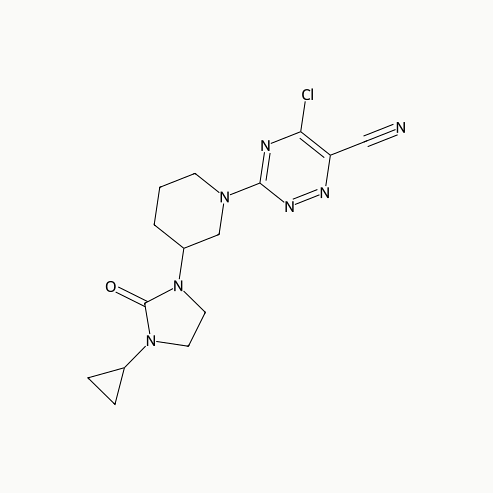 N#Cc1nnc(N2CCCC(N3CCN(C4CC4)C3=O)C2)nc1Cl